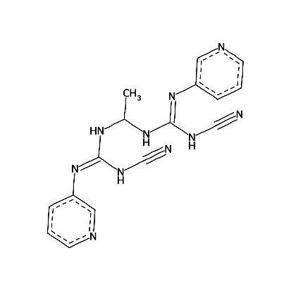 CC(NC(=Nc1cccnc1)NC#N)NC(=Nc1cccnc1)NC#N